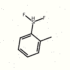 Cc1ccccc1[SiH](F)F